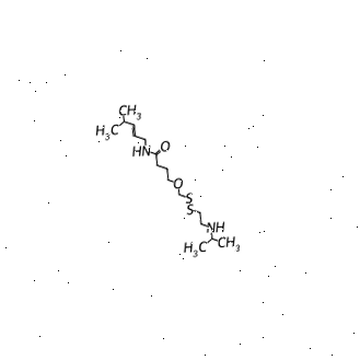 CC(C)/C=C/CNC(=O)CCCOCSSCCNC(C)C